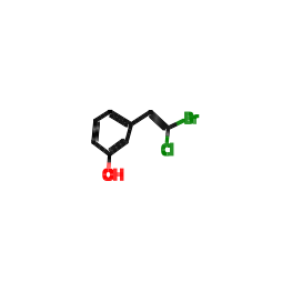 Oc1cccc(/C=C(\Cl)Br)c1